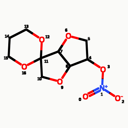 O=[N+]([O-])OC1COC2C1OCC21OCCCO1